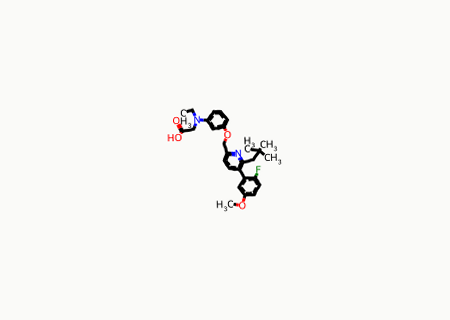 CCN(CC(=O)O)c1cccc(OCc2ccc(-c3cc(OC)ccc3F)c(CC(C)(C)C)n2)c1